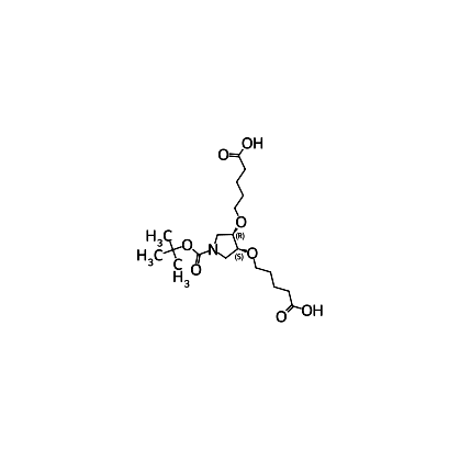 CC(C)(C)OC(=O)N1C[C@H](OCCCCC(=O)O)[C@H](OCCCCC(=O)O)C1